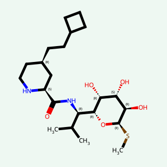 CS[C@H]1O[C@H]([C@H](NC(=O)[C@@H]2C[C@H](CCC3CCC3)CCN2)C(C)C)[C@H](O)[C@H](O)[C@H]1O